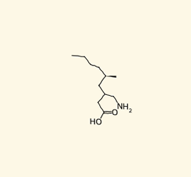 CCCC[C@@H](C)CC(CN)CC(=O)O